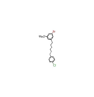 COc1cc(Br)cc(CCCCCCc2ccc(Cl)cc2)c1